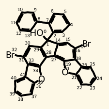 OC1(c2ccccc2-c2ccccc2)c2cc(Br)c3c(oc4ccccc43)c2-c2c1cc(Br)c1c2oc2ccccc21